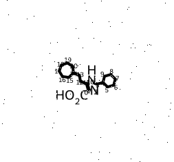 O=C(O)c1nc(C2CCCCC2)[nH]c1CCC1CCCCCC1